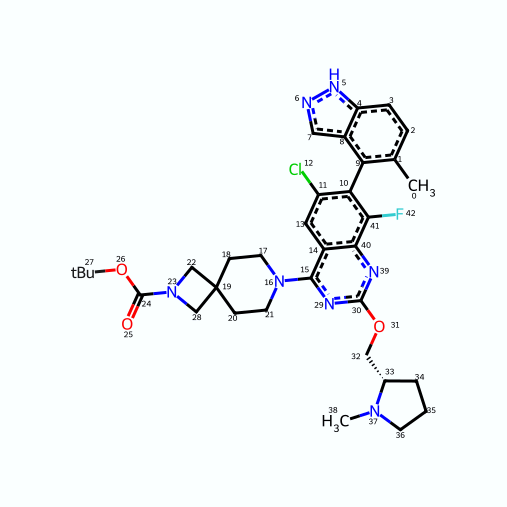 Cc1ccc2[nH]ncc2c1-c1c(Cl)cc2c(N3CCC4(CC3)CN(C(=O)OC(C)(C)C)C4)nc(OC[C@@H]3CCCN3C)nc2c1F